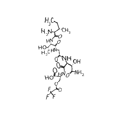 CC[C@H](C)[C@H](N)C(=O)N[C@H](C(=O)NCC(=O)NC(C(=O)N[C@@H](COC(=O)C(F)(F)F)C(=O)O)[C@H](O)C(N)=O)[C@H](C)O